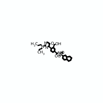 CCCN(CCC)c1nccc(-c2ccc(C(=O)NS(=O)(=O)c3ccc4ccccc4c3)cc2C(=O)O)n1